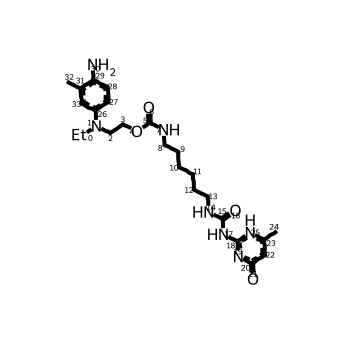 CCN(CCOC(=O)NCCCCCCNC(=O)Nc1nc(=O)cc(C)[nH]1)c1ccc(N)c(C)c1